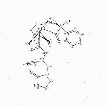 C[C@](O)(C(=O)N1[C@H]2CC[C@@H]([C@H]1C(=O)N[C@@H](C#N)C[C@@H]1CCNC1=O)C(F)(F)C2)c1ccccc1